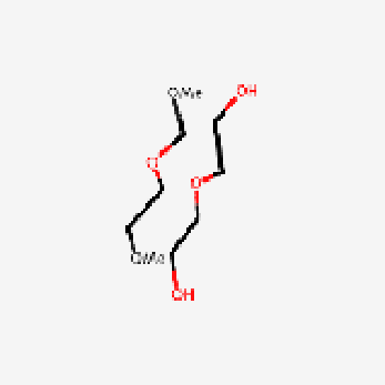 COCCOCOC.OCCOCCO